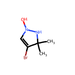 CC1(C)NN(O)C=C1Br